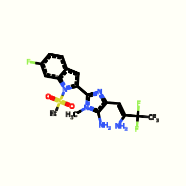 CCS(=O)(=O)n1c(-c2nc(/C=C(\N)C(F)(F)C(F)(F)F)c(N)n2C)cc2ccc(F)cc21